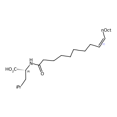 CCCCCCCC/C=C\CCCCCCCC(=O)N[C@H](CC(C)C)C(=O)O